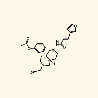 CC(=O)Oc1cccc([C@@]23CCN(CC4CC4)C[C@H]2CC[C@@H](NC(=O)/C=C/c2ccoc2)C3)c1